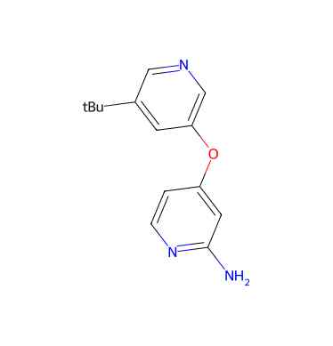 CC(C)(C)c1cncc(Oc2ccnc(N)c2)c1